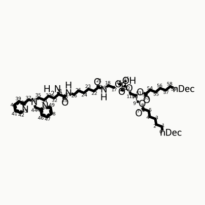 CCCCCCCCCCCCCCCC(=O)OC[C@H](COP(=O)(O)OCCNC(=O)CCCCCNC(=O)C(N)CCCCN(Cc1ccccn1)Cc1ccccn1)OC(=O)CCCCCCCCCCCCCCC